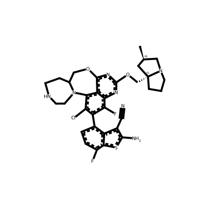 C[C@H]1CN2CCC[C@@]2(COc2nc3c4c(c(Cl)c(-c5ccc(F)c6sc(N)c(C#N)c56)c(F)c4n2)N2CCNCCC2CO3)C1